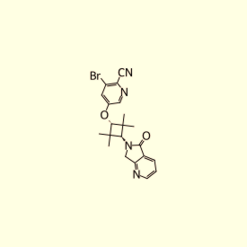 CC1(C)[C@H](Oc2cnc(C#N)c(Br)c2)C(C)(C)[C@H]1N1Cc2ncccc2C1=O